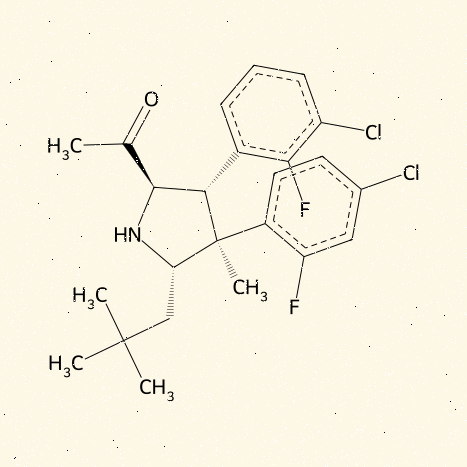 CC(=O)[C@@H]1N[C@@H](CC(C)(C)C)[C@](C)(c2ccc(Cl)cc2F)[C@H]1c1cccc(Cl)c1F